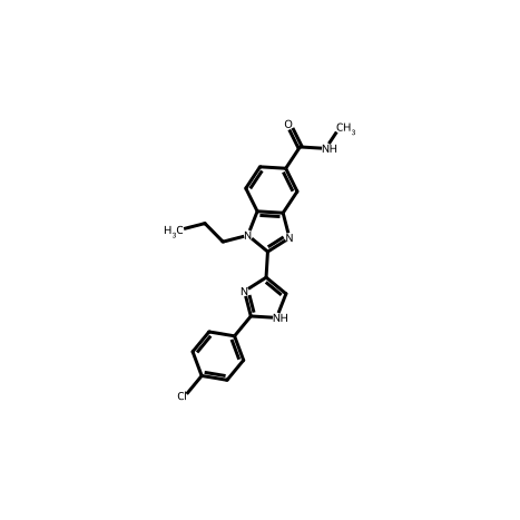 CCCn1c(-c2c[nH]c(-c3ccc(Cl)cc3)n2)nc2cc(C(=O)NC)ccc21